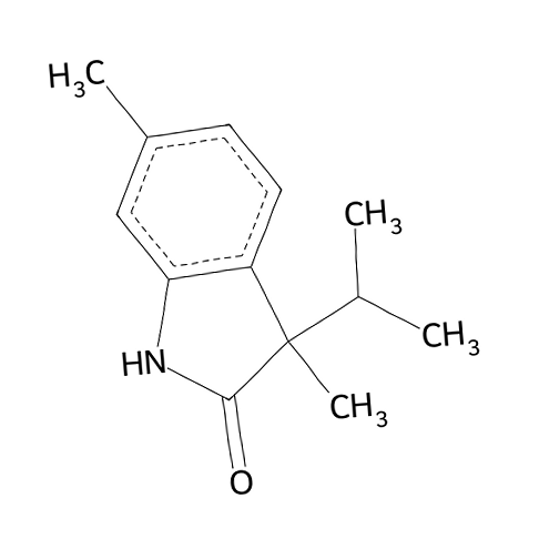 Cc1ccc2c(c1)NC(=O)C2(C)C(C)C